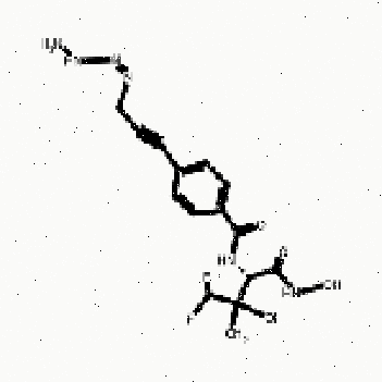 CC(O)(C(F)F)[C@H](NC(=O)c1ccc(C#CC/N=N\NN)cc1)C(=O)NO